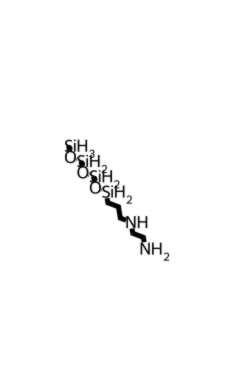 NCCNCCC[SiH2]O[SiH2]O[SiH2]O[SiH3]